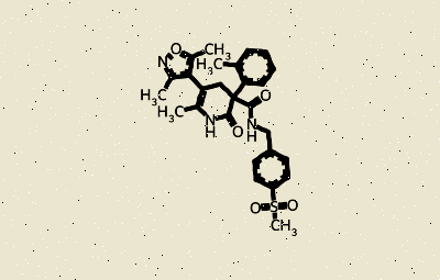 CC1=C(c2c(C)noc2C)CC(C(=O)NCc2ccc(S(C)(=O)=O)cc2)(c2ccccc2C)C(=O)N1